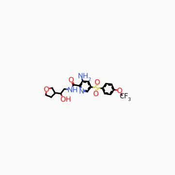 Nc1cc(S(=O)(=O)c2ccc(OC(F)(F)F)cc2)cnc1C(=O)NCC(O)C1CCOC1